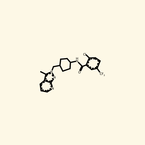 Cc1c2cccnc2nn1CC1CCC(NC(=O)c2cc(C(F)(F)F)ccc2Cl)CC1